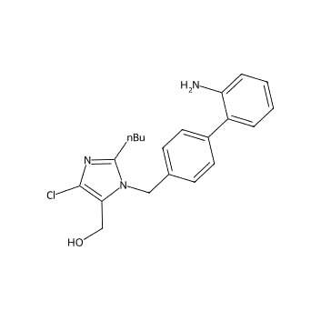 CCCCc1nc(Cl)c(CO)n1Cc1ccc(-c2ccccc2N)cc1